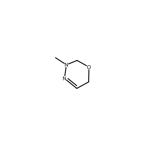 CN1COCC=N1